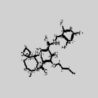 CCCCOc1c2n(cc(C(=O)NCc3c(F)cc(F)cc3F)c1=O)[C@@H]1CN(C2=O)[C@@H](C)CC[C@@]12CCO2